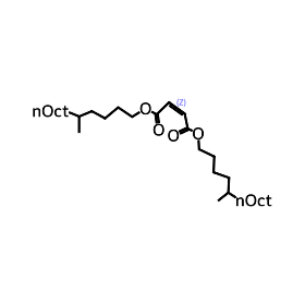 CCCCCCCCC(C)CCCCOC(=O)/C=C\C(=O)OCCCCC(C)CCCCCCCC